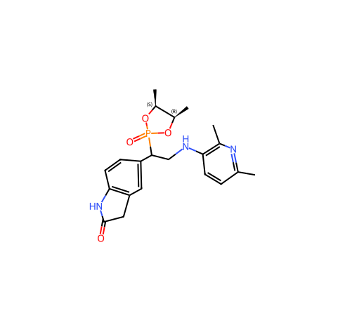 Cc1ccc(NCC(c2ccc3c(c2)CC(=O)N3)P2(=O)O[C@@H](C)[C@@H](C)O2)c(C)n1